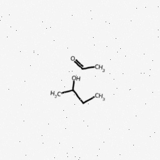 CC=O.CCC(C)O